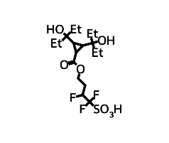 CCC(O)(CC)C1C(C(=O)OCCC(F)C(F)(F)S(=O)(=O)O)C1C(O)(CC)CC